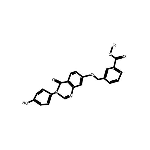 CC(C)OC(=O)c1cccc(COc2ccc3c(=O)n(-c4ccc(O)cc4)cnc3c2)c1